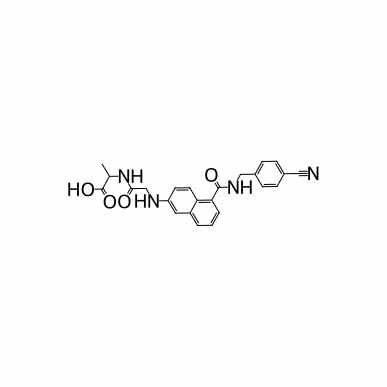 CC(NC(=O)CNc1ccc2c(C(=O)NCc3ccc(C#N)cc3)cccc2c1)C(=O)O